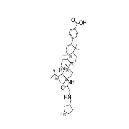 C=C(C)[C@@H]1CC[C@]2(NC(=O)CNCC3CC[C@H](C)C3)CC[C@]3(C)[C@H](CCC4[C@@]5(C)CC=C(c6ccc(C(=O)O)cc6)C(C)(C)C5CC[C@]43C)C12